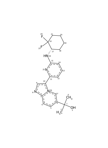 CC(C)(O)c1ccc2ncc(-c3cccc(N[C@H]4CCCCC4(F)F)n3)n2c1